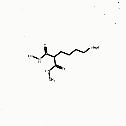 CCCCCCCCCCCC(C(=O)NN)C(=O)NN